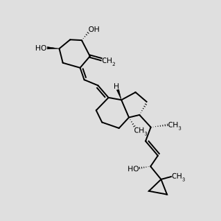 C=C1/C(=C\C=C2/CCC[C@]3(C)[C@@H]([C@H](C)/C=C/[C@@H](O)C4(C)CC4)CC[C@@H]23)C[C@@H](O)C[C@@H]1O